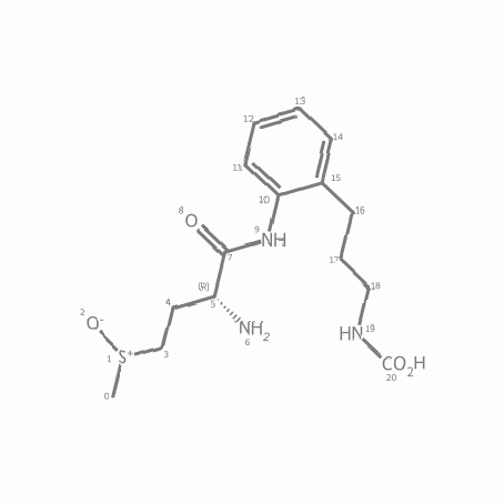 C[S+]([O-])CC[C@@H](N)C(=O)Nc1ccccc1CCCNC(=O)O